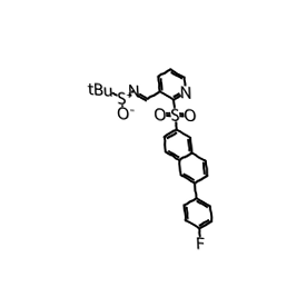 CC(C)(C)[S+]([O-])/N=C/c1cccnc1S(=O)(=O)c1ccc2cc(-c3ccc(F)cc3)ccc2c1